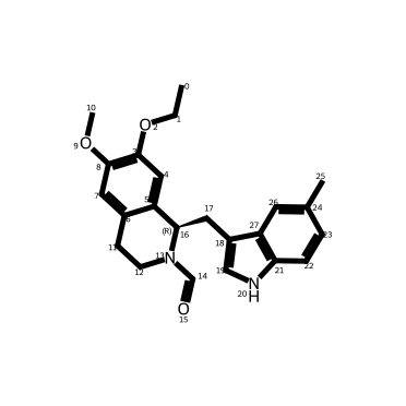 CCOc1cc2c(cc1OC)CCN(C=O)[C@@H]2Cc1c[nH]c2ccc(C)cc12